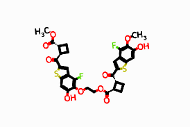 COC(=O)[C@@H]1CC[C@H]1C(=O)c1cc2c(F)c(OCCOC(=O)[C@@H]3CC[C@H]3C(=O)c3cc4c(F)c(OC)c(O)cc4s3)c(O)cc2s1